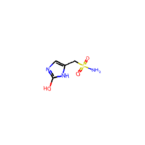 NS(=O)(=O)Cc1cnc(O)[nH]1